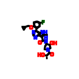 Cc1[nH]c2c(-c3cc(F)ccc3OCC3CC3)ncnc2c1C(=O)N[C@@H]1CCN(C(=O)[C@H](C)O)C[C@@H]1O